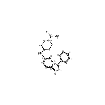 O=C(O)N1CCC(Nc2ccc3ncc(-c4ccncc4)n3n2)CC1